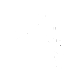 CC(C)(CCC(CCSCc1ccc(F)cc1)SCc1ccc(F)cc1)CC(=O)Nc1ccn([C@H]2CC(O)[C@@H](CO)O2)c(=O)n1